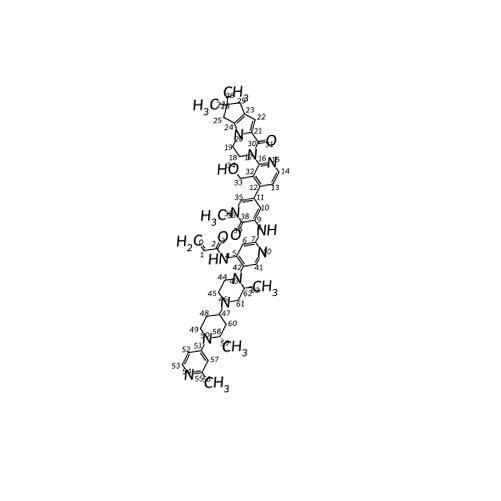 C=CC(=O)Nc1cc(Nc2cc(-c3ccnc(N4CCn5c(cc6c5CC(C)(C)C6)C4=O)c3CO)cn(C)c2=O)ncc1N1CCN(C2CCN(c3ccnc(C)c3)[C@@H](C)C2)C[C@@H]1C